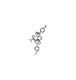 CCc1ccc([C@H](Oc2ccc3c(cnn3-c3ccc(F)cc3)c2)[C@H](C)NC(=O)C(C)C)cc1